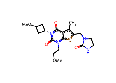 COCCn1c(=O)n([C@H]2C[C@H](OC)C2)c(=O)c2c(C)c(CN3CCNC3=O)sc21